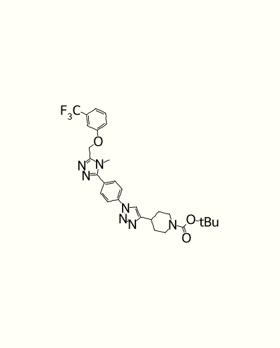 Cn1c(COc2cccc(C(F)(F)F)c2)nnc1-c1ccc(-n2cc(C3CCN(C(=O)OC(C)(C)C)CC3)nn2)cc1